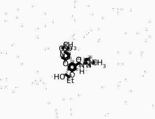 CCC(CO)Oc1cc(Oc2ccc(S(C)(=O)=O)nc2)cc(C(=O)Nc2ccn(C)n2)c1